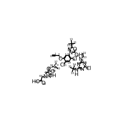 C#CCOc1cc(-n2nc(C(C)(C)C)oc2=O)c(Cl)cc1Cl.CCNc1nc(Cl)nc(NC(C)(C)C)n1.C[S+](C)C.O=C(O)CNCP(=O)([O-])O